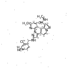 C#C/C=C\C(CNc1cc(-c2ccn3ncc(C(=O)NC)c3c2)n(-c2cccc(C)n2)n1)=C(/C)Cl